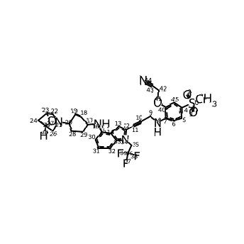 CS(=O)(=O)c1ccc(NCC#Cc2cc3c(NC4CCC(N5CC6C[C@@H](C5)O6)CC4)cccc3n2CC(F)(F)F)c(OCC#N)c1